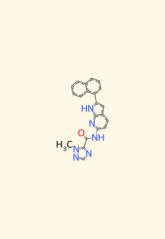 Cn1ncnc1C(=O)Nc1ccc2cc(-c3cccc4ccccc34)[nH]c2n1